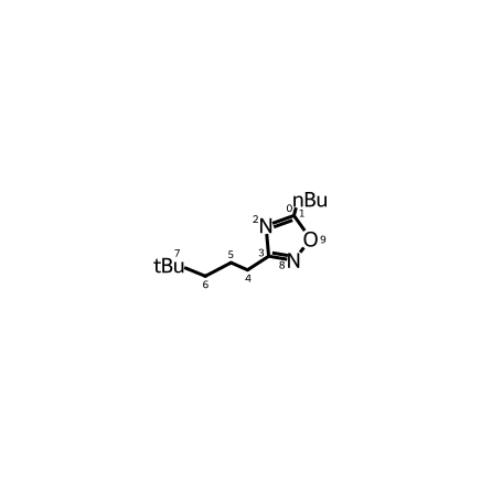 CCCCc1nc(CCCC(C)(C)C)no1